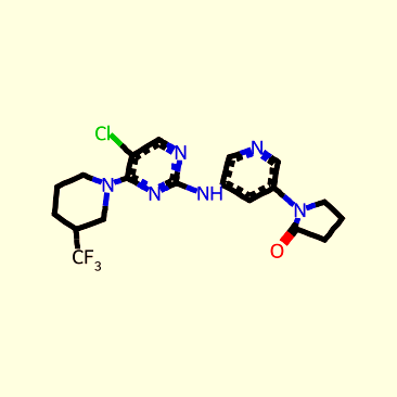 O=C1CCCN1c1cncc(Nc2ncc(Cl)c(N3CCCC(C(F)(F)F)C3)n2)c1